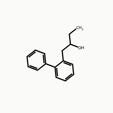 CCC(O)Cc1ccccc1-c1ccccc1